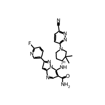 CC1(C)CN(c2ccc(C#N)nn2)CC[C@H]1Nc1c(C(N)=O)cnc2cc(-c3ccc(F)nc3)nn12